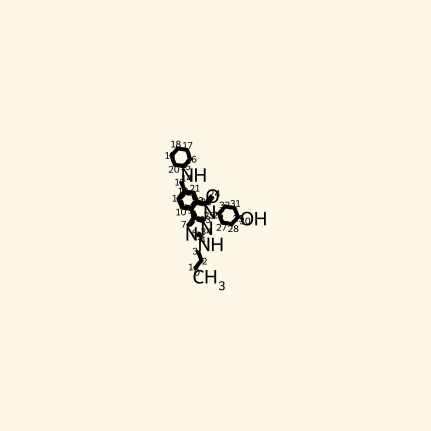 CCCCNc1ncc2c3ccc(CNC4CCCCC4)cc3c(=O)n([C@H]3CC[C@H](O)CC3)c2n1